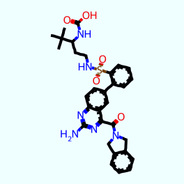 CC(C)(C)C(CCNS(=O)(=O)c1ccccc1-c1ccc2nc(N)nc(C(=O)N3Cc4ccccc4C3)c2c1)NC(=O)O